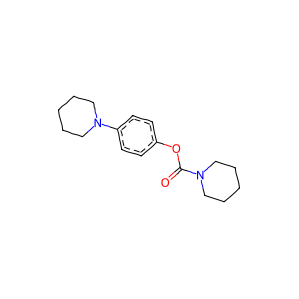 O=C(Oc1ccc(N2CCCCC2)cc1)N1CCCCC1